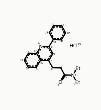 CCN(CC)C(=O)CCc1cc(-c2ccccc2)nc2ccccc12.Cl